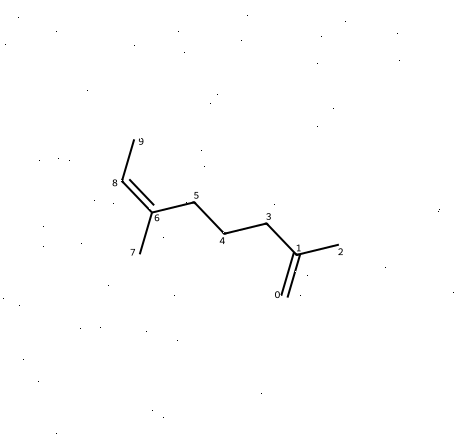 C=C(C)CCC/C(C)=C\C